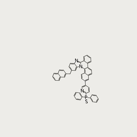 S=P(c1ccccc1)(c1ccccc1)c1ccc(-c2ccc3c(ccc4c5ccccc5c5nc6ccc(Cc7ccc8ccccc8c7)cc6n5c34)c2)cn1